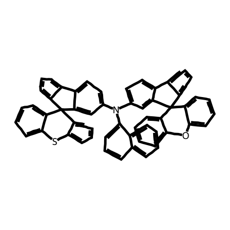 c1ccc2c(c1)Oc1ccccc1C21c2ccccc2-c2ccc(N(c3ccc4c(c3)C3(c5ccccc5Sc5ccccc53)c3ccccc3-4)c3cccc4ccccc34)cc21